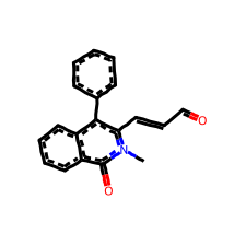 Cn1c(C=CC=O)c(-c2ccccc2)c2ccccc2c1=O